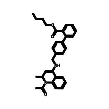 CCCCOC(=O)c1ccccc1-c1ccc(CNC2=CC(C)N(C(C)=O)c3ccccc32)cc1